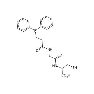 O=C(CCP(c1ccccc1)c1ccccc1)NCC(=O)NC(CS)C(=O)O